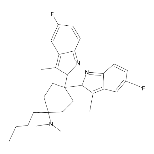 CCCCC1(N(C)C)CCC(C2N=c3ccc(F)cc3=C2C)(C2N=c3ccc(F)cc3=C2C)CC1